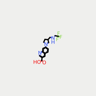 O=C(O)c1cnc2cc(N3CCC(CNCC(F)(F)F)C3)ccc2c1